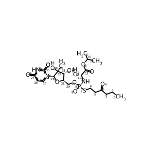 CCCC(=O)CCS[P@@](=O)(N[C@H](C)C(=O)OC(C)C)OC[C@H]1O[C@@H](n2ccc(=O)[nH]c2=O)[C@](C)(O)[C@@H]1O